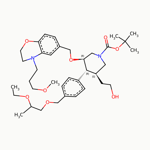 CCOC(C)COCc1ccc([C@H]2[C@H](CCO)CN(C(=O)OC(C)(C)C)C[C@@H]2OCc2ccc3c(c2)N(CCCOC)CCO3)cc1